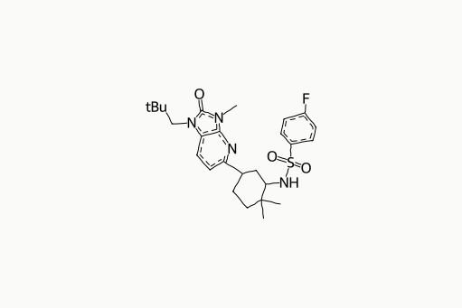 Cn1c(=O)n(CC(C)(C)C)c2ccc(C3CCC(C)(C)C(NS(=O)(=O)c4ccc(F)cc4)C3)nc21